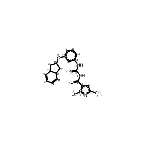 CCn1nc(C)cc1C(=O)NC(=S)Nc1cccc(OC2CC3C=CC=CC3C2)c1